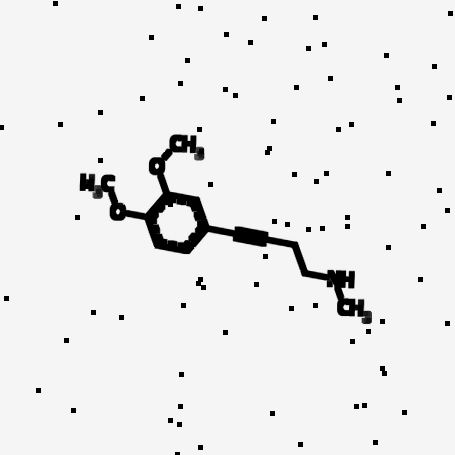 CNCCC#Cc1ccc(OC)c(OC)c1